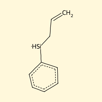 C=CC[SiH]c1ccccc1